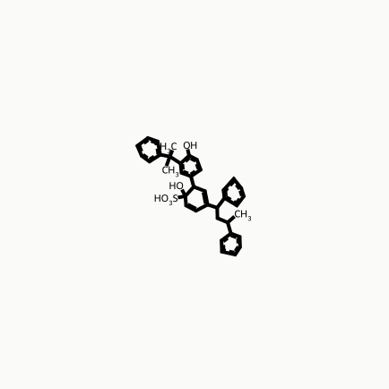 CC(CC(C1=CC(c2ccc(O)c(C(C)(C)c3ccccc3)c2)C(O)(S(=O)(=O)O)C=C1)c1ccccc1)c1ccccc1